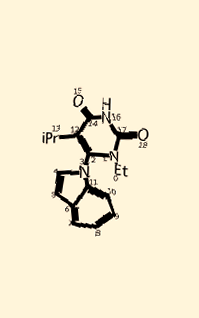 CCn1c(-n2ccc3ccccc32)c(C(C)C)c(=O)[nH]c1=O